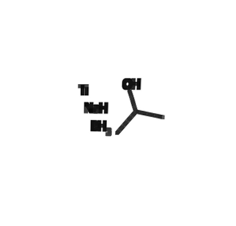 B.CC(C)O.[NaH].[Ti]